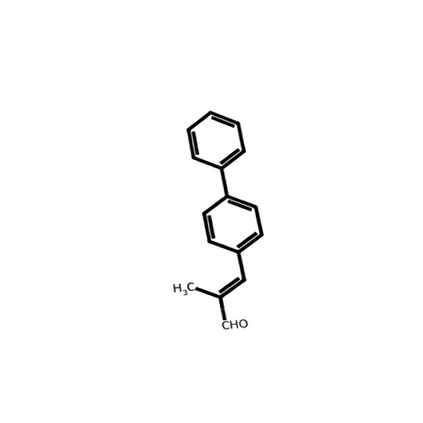 C/C(C=O)=C\c1ccc(-c2ccccc2)cc1